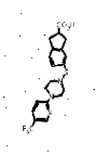 O=C(O)C1Cc2ccc(SN3CCN(c4ccc(C(F)(F)F)cn4)CC3)cc2C1